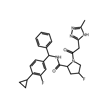 Cc1nnc(CC(=O)N2CC(F)CC2C(=O)NC(c2ccccc2)c2ccc(C3CC3)c(F)c2)[nH]1